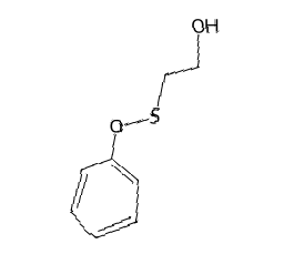 OCCSOc1ccccc1